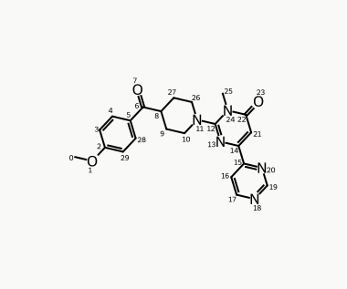 COc1ccc(C(=O)C2CCN(c3nc(-c4ccncn4)cc(=O)n3C)CC2)cc1